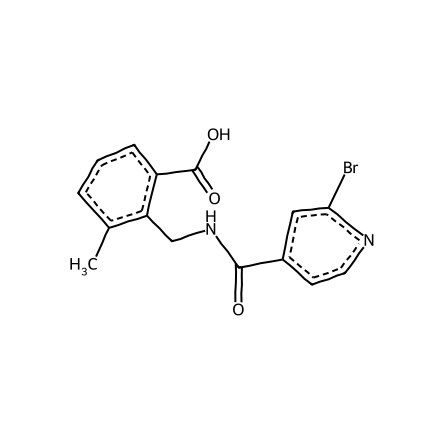 Cc1cccc(C(=O)O)c1CNC(=O)c1ccnc(Br)c1